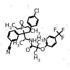 CCP(=O)(CC)C(Cc1ccc(Cl)cc1)(c1cccc(C#N)c1)[C@H](C)NC(=O)C(C)(C)Oc1ccc(C(F)(F)F)cn1